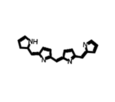 C1=C=NC(=CC2=NC(=CC3=NC(=CC4CC=CN4)C=C3)C=C2)C=1